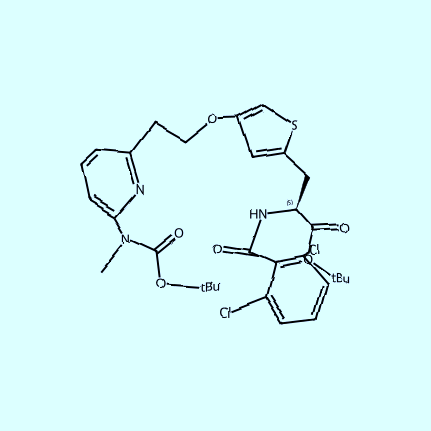 CN(C(=O)OC(C)(C)C)c1cccc(CCOc2csc(C[C@H](NC(=O)c3c(Cl)cccc3Cl)C(=O)OC(C)(C)C)c2)n1